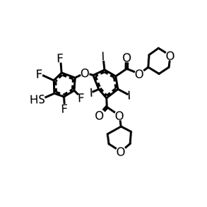 O=C(OC1CCOCC1)c1c(I)c(Oc2c(F)c(F)c(S)c(F)c2F)c(I)c(C(=O)OC2CCOCC2)c1I